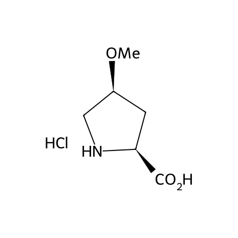 CO[C@@H]1CN[C@H](C(=O)O)C1.Cl